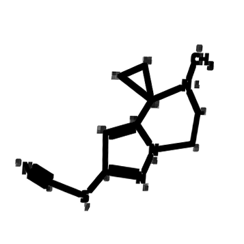 CN1CCn2nc(SC#N)cc2C12CC2